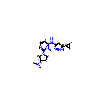 CN1C(N2CC[C@@H](N(C)C)C2)=NC=CC1Nc1cc(C2CC2)[nH]n1